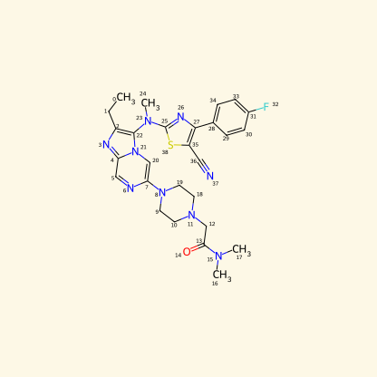 CCc1nc2cnc(N3CCN(CC(=O)N(C)C)CC3)cn2c1N(C)c1nc(-c2ccc(F)cc2)c(C#N)s1